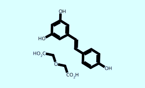 O=C(O)COCC(=O)O.Oc1ccc(C=Cc2cc(O)cc(O)c2)cc1